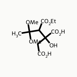 CCOC(=O)C(C(C)(OC)OC)C(O)(CC(=O)O)C(=O)O